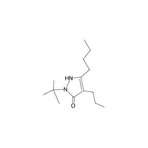 CCCCc1[nH]n(C(C)(C)C)c(=O)c1CCC